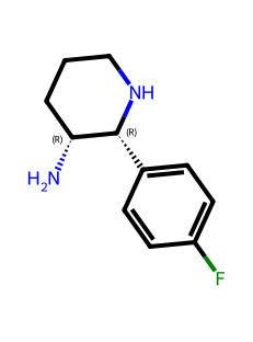 N[C@@H]1CCCN[C@@H]1c1ccc(F)cc1